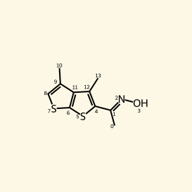 CC(=NO)c1sc2scc(C)c2c1C